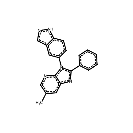 Cc1cnc2c(c1)nc(-c1ccccc1)n2-c1ccc2[nH]ncc2c1